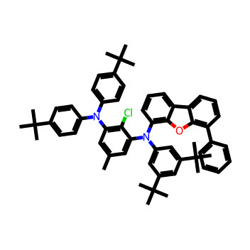 Cc1cc(N(c2ccc(C(C)(C)C)cc2)c2ccc(C(C)(C)C)cc2)c(Cl)c(N(c2cc(C(C)(C)C)cc(C(C)(C)C)c2)c2cccc3c2oc2c(-c4ccccc4)cccc23)c1